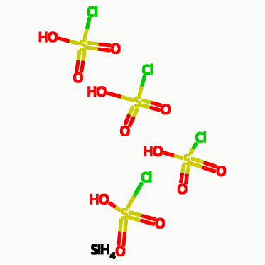 O=S(=O)(O)Cl.O=S(=O)(O)Cl.O=S(=O)(O)Cl.O=S(=O)(O)Cl.[SiH4]